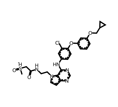 C[SH](C)(=O)CC(=O)NCCn1ccc2ncnc(Nc3ccc(Oc4cccc(OCC5CC5)c4)c(Cl)c3)c21